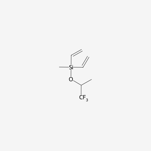 C=C[Si](C)(C=C)OC(C)C(F)(F)F